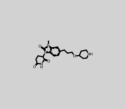 Cn1c(=O)n(C2CCC(=O)NC2=O)c2ccc(CCCOC3CCNCC3)cc21